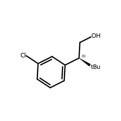 CC(C)(C)[C@H](CO)c1cccc(Cl)c1